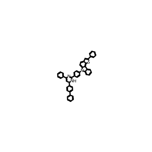 C1=C(c2ccccc2)N=C(c2ccc(-n3c4ccccc4c4c5sc(-c6ccccc6)cc5ccc43)cc2)NC1c1ccc(-c2ccccc2)cc1